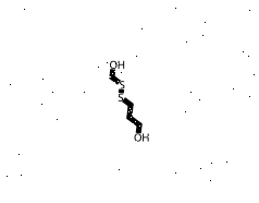 OCCCSSCO